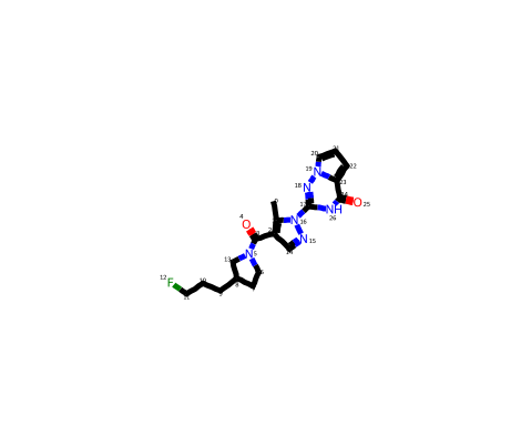 Cc1c(C(=O)N2CCC(CCCF)C2)cnn1-c1nn2cccc2c(=O)[nH]1